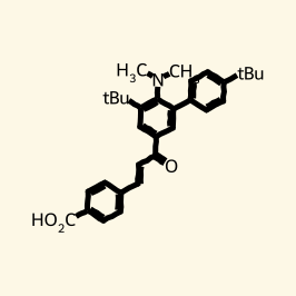 CN(C)c1c(-c2ccc(C(C)(C)C)cc2)cc(C(=O)C=Cc2ccc(C(=O)O)cc2)cc1C(C)(C)C